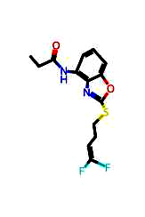 CCC(=O)Nc1cccc2oc(SCCC=C(F)F)nc12